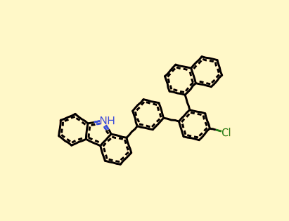 Clc1ccc(-c2cccc(-c3cccc4c3[nH]c3ccccc34)c2)c(-c2cccc3ccccc23)c1